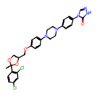 CC1(c2ccc(Cl)cc2Cl)OCC(COc2ccc(N3CCN(c4ccc(-n5cn[nH]c5=O)cc4)CC3)cc2)O1